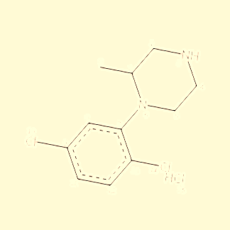 CC1CNCCN1c1cc(Cl)ccc1Cl.Cl